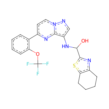 OC(Nc1cnn2ccc(-c3ccccc3OC(F)(F)F)nc12)c1nc2c(s1)CCCC2